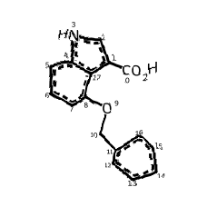 O=C(O)c1c[nH]c2cccc(OCc3ccccc3)c12